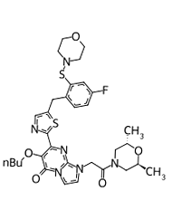 CCCCOc1c(-c2ncc(Cc3ccc(F)cc3SN3CCOCC3)s2)nc2n(CC(=O)N3C[C@H](C)O[C@@H](C)C3)ccn2c1=O